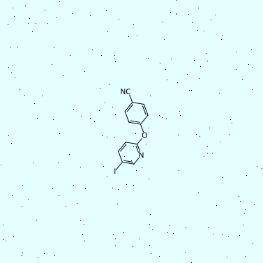 N#Cc1ccc(Oc2ccc(I)cn2)cc1